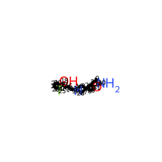 CC(Cc1cccc(C2CCN(CCCCCC(O)c3ccccc3F)CC2)c1)C(N)=O